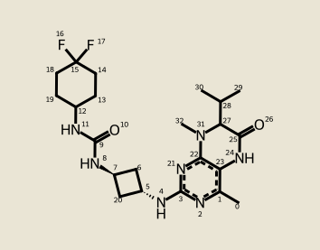 Cc1nc(N[C@H]2C[C@H](NC(=O)NC3CCC(F)(F)CC3)C2)nc2c1NC(=O)C(C(C)C)N2C